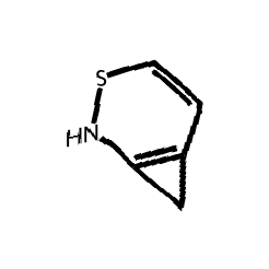 C1=CC2=C(C2)NS1